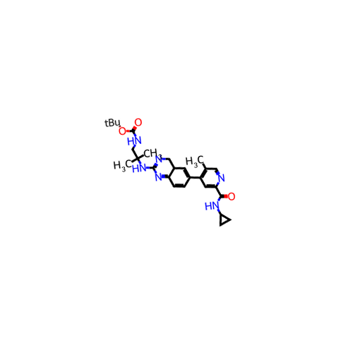 Cc1cnc(C(=O)NC2CC2)cc1C1=CC2CN=C(NC(C)(C)CNC(=O)OC(C)(C)C)N=C2C=C1